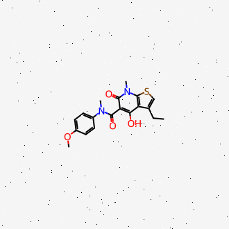 CCc1csc2c1c(O)c(C(=O)N(C)c1ccc(OC)cc1)c(=O)n2C